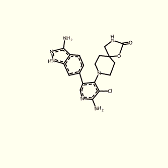 Nc1ncc(-c2ccc3c(N)n[nH]c3c2)c(N2CCC3(CC2)CNC(=O)O3)c1Cl